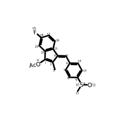 CC(=O)OC1=C(C)C(=Cc2ccc([S+](C)[O-])cc2)c2ccc(F)cc21